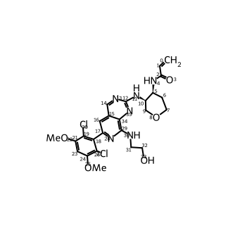 C=CC(=O)N[C@H]1CCOC[C@H]1Nc1ncc2cc(-c3c(Cl)c(OC)cc(OC)c3Cl)nc(NCCO)c2n1